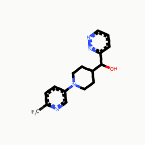 OC(c1cccnn1)C1CCN(c2ccc(C(F)(F)F)nc2)CC1